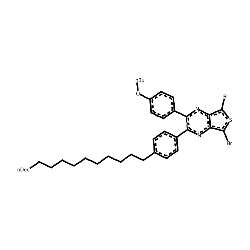 CCCCCCCCCCCCCCCCCCCCc1ccc(-c2nc3c(Br)sc(Br)c3nc2-c2ccc(OCCCC)cc2)cc1